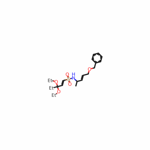 CCOC(C=CS(=O)(=O)NC(C)C=CCOCc1ccccc1)(CC)OCC